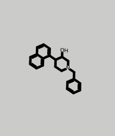 OC1CN(Cc2ccccc2)CCC1c1cccc2ccccc12